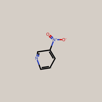 O=[N+]([O-])c1c[c]cnc1